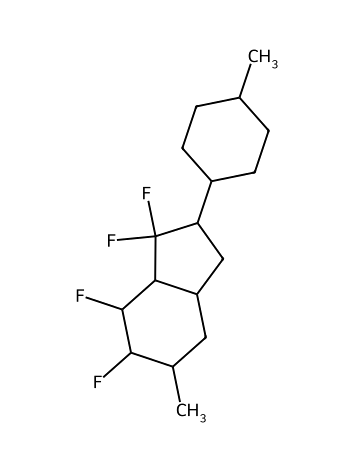 CC1CCC(C2CC3CC(C)C(F)C(F)C3C2(F)F)CC1